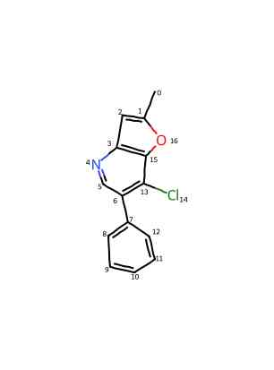 Cc1cc2ncc(-c3ccccc3)c(Cl)c2o1